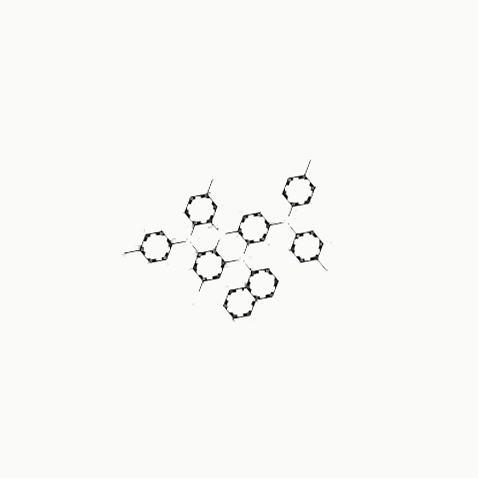 Cc1ccc(N(c2ccc(C)cc2)c2ccc3c(c2)N(c2cccc4ccccc24)c2cc(C(C)(C)C)cc4c2[SH]3c2cc(C)ccc2N4c2ccc(C)cc2)cc1